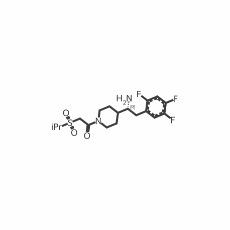 CC(C)S(=O)(=O)CC(=O)N1CCC([C@H](N)Cc2cc(F)c(F)cc2F)CC1